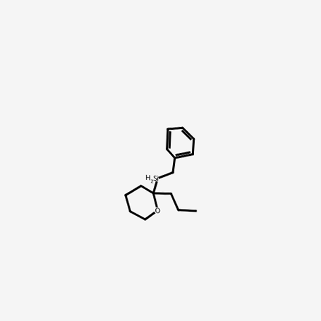 CCCC1([SiH2]Cc2ccccc2)CCCCO1